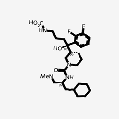 CNC[C@H](CC1CCCCC1)NC(=O)N1CCC[C@@H]([C@](O)(CCCNC(=O)O)c2cccc(F)c2F)C1